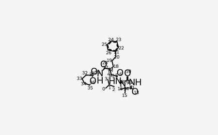 CC(C)C[C@@H](C(=O)NN1C(=O)NC(=O)C1(C)C)[C@H](CCCc1ccccc1)C(=O)NOC1CCCCO1